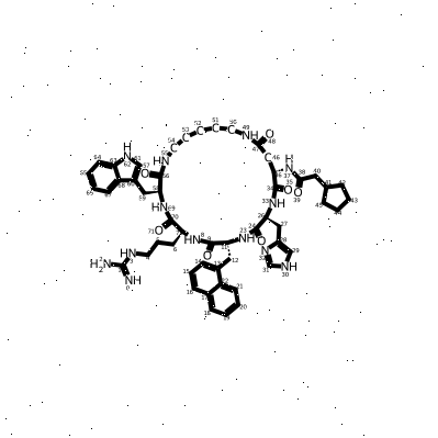 N=C(N)NCCC[C@@H]1NC(=O)[C@@H](Cc2cccc3ccccc23)NC(=O)[C@H](Cc2c[nH]cn2)NC(=O)[C@@H](NC(=O)CC2CCCC2)CC(=O)NCCCCCNC(=O)[C@H](Cc2c[nH]c3ccccc23)NC1=O